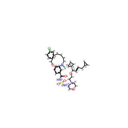 NS(=O)(=O)NC(=O)c1ccc2c(c1)N(C[C@@H]1CC[C@H]1C(/C=C/CC1CC1)OCCN1CCOCC1)CCCCc1cc(Cl)ccc1CO2